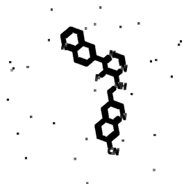 N#Cc1ccc2cc(CNc3ncnc(-c4ccc5ncccc5c4)c3F)cnc2c1